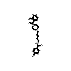 O=C(NCCCCCN1CCN(C(=O)c2ccccc2Cl)CC1)c1ccc(Cl)cc1